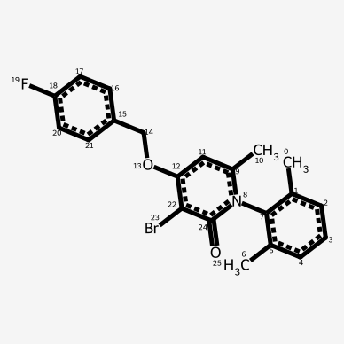 Cc1cccc(C)c1-n1c(C)cc(OCc2ccc(F)cc2)c(Br)c1=O